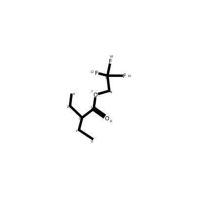 CCC(CC)C(=O)OCC(F)(F)F